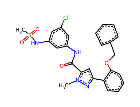 Cn1nc(-c2ccccc2OCc2ccccc2)cc1C(=O)Nc1cc(Cl)cc(NS(C)(=O)=O)c1